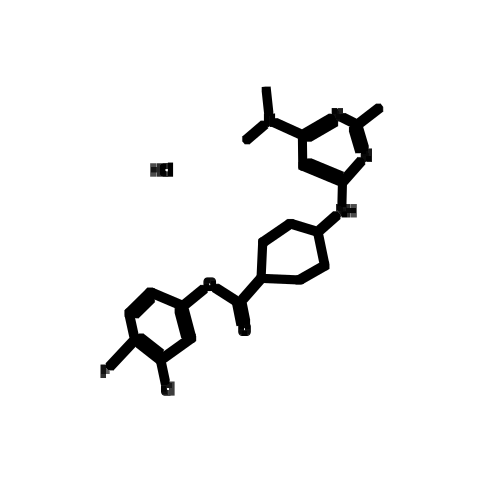 Cc1nc(NC2CCC(C(=O)Oc3ccc(F)c(Cl)c3)CC2)cc(N(C)C)n1.Cl